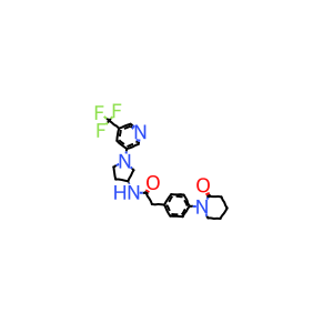 O=C(Cc1ccc(N2CCCCC2=O)cc1)N[C@@H]1CCN(c2cncc(C(F)(F)F)c2)C1